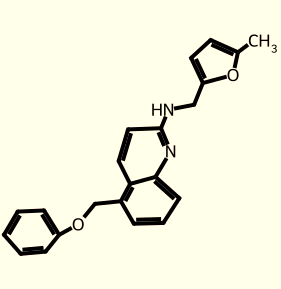 Cc1ccc(CNc2ccc3c(COc4ccccc4)cccc3n2)o1